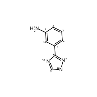 Nc1cccc(C2=N[N]C=N2)c1